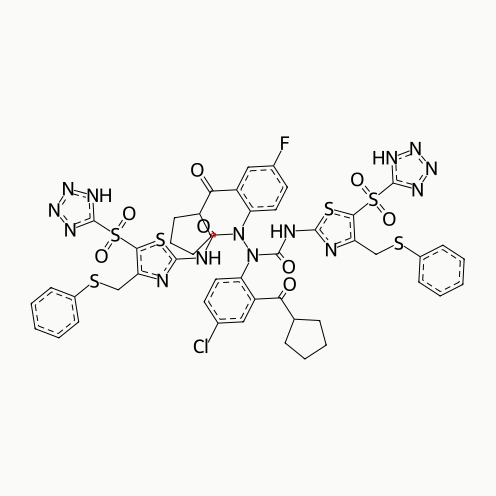 O=C(c1cc(F)ccc1N(C(=O)Nc1nc(CSc2ccccc2)c(S(=O)(=O)c2nnn[nH]2)s1)N(C(=O)Nc1nc(CSc2ccccc2)c(S(=O)(=O)c2nnn[nH]2)s1)c1ccc(Cl)cc1C(=O)C1CCCC1)C1CCCC1